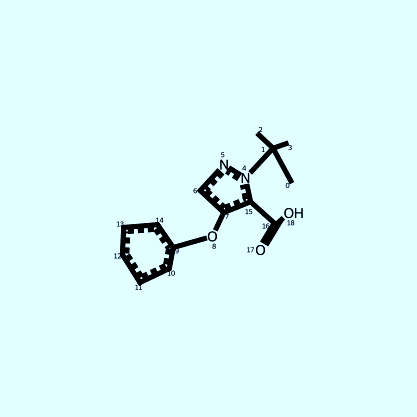 CC(C)(C)n1ncc(Oc2ccccc2)c1C(=O)O